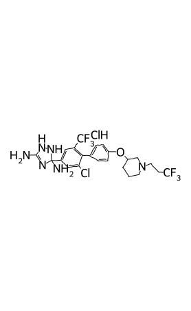 Cl.NC1=NC(N)(c2cc(Cl)c(-c3ccc(OC4CCCN(CCC(F)(F)F)C4)cc3)c(C(F)(F)F)c2)NN1